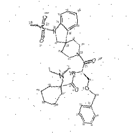 CN(C)C1(C(=O)N[C@H](COCc2ccccc2)C(=O)N2CCC3(CC2)CN(S(C)(=O)=O)c2ccccc23)CCCCC1